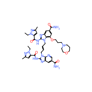 CCn1nc(C)cc1C(=O)Nc1nc2cc(C(N)=O)cnc2n1C/C=C/Cn1c(NC(=O)c2cc(C)nn2CC)nc2cc(C(N)=O)cc(OCCCN3CCCOCC3)c21